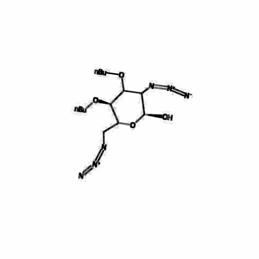 CCCCOC1C(N=[N+]=[N-])[C@@H](O)OC(CN=[N+]=[N-])[C@H]1OCCCC